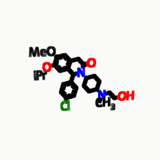 COc1cc2c(cc1OC(C)C)C(c1ccc(Cl)cc1)N([C@H]1CC[C@H](N(C)CCO)CC1)C(=O)C2